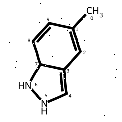 CC1=CC2=CNNC2C=C1